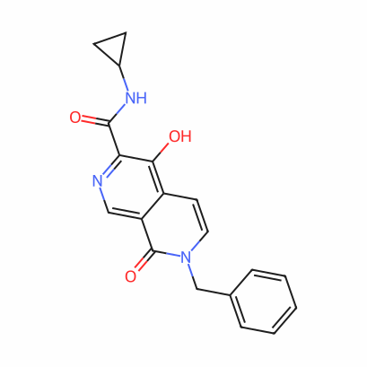 O=C(NC1CC1)c1ncc2c(=O)n(Cc3ccccc3)ccc2c1O